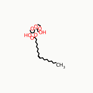 CCCCCCCC/C=C\CCCCCCCC(=O)O[C@@H]1[C@@H](O)CO[C@@H]1C1(CO)OCCO1